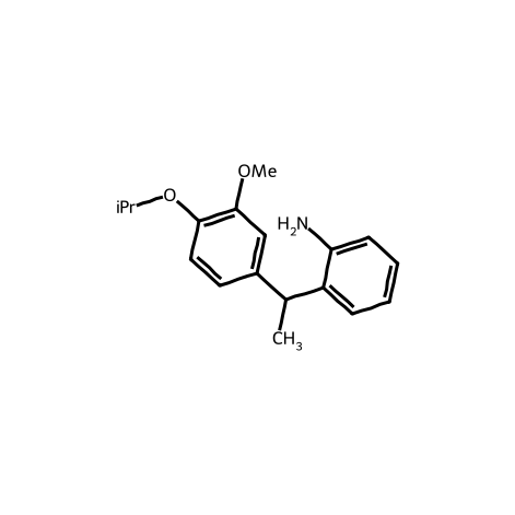 COc1cc(C(C)c2ccccc2N)ccc1OC(C)C